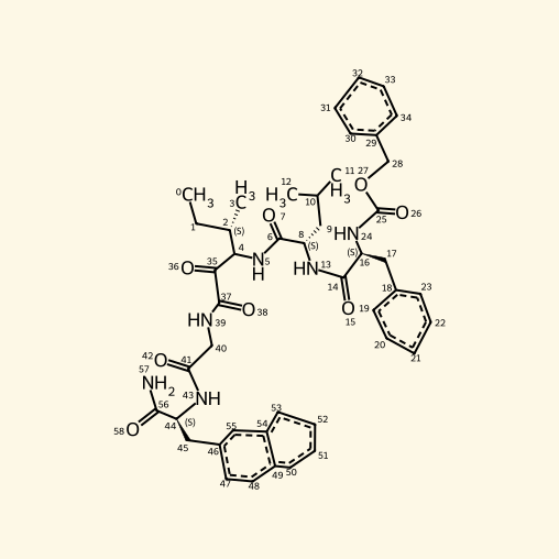 CC[C@H](C)C(NC(=O)[C@H](CC(C)C)NC(=O)[C@H](Cc1ccccc1)NC(=O)OCc1ccccc1)C(=O)C(=O)NCC(=O)N[C@@H](Cc1ccc2ccccc2c1)C(N)=O